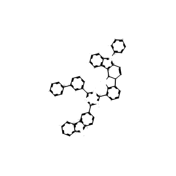 C1=CC2c3cccc(-c4nc(-c5cccc(-c6ccccc6)c5)nc(-c5ccc6oc7ccccc7c6c5)n4)c3OC2c2c1n(-c1ccccc1)c1ccccc21